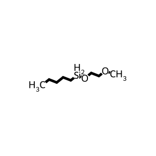 CCCCC[SiH2]OCCOC